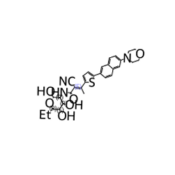 CC[C@H]1OC(O)[C@H](NC(=O)/C(C#N)=C(\C)c2ccc(-c3ccc4cc(N5CCOCC5)ccc4c3)s2)[C@@H](O)[C@@H]1O